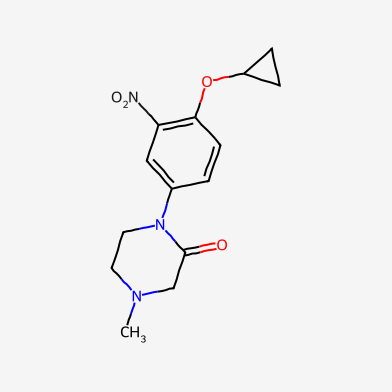 CN1CCN(c2ccc(OC3CC3)c([N+](=O)[O-])c2)C(=O)C1